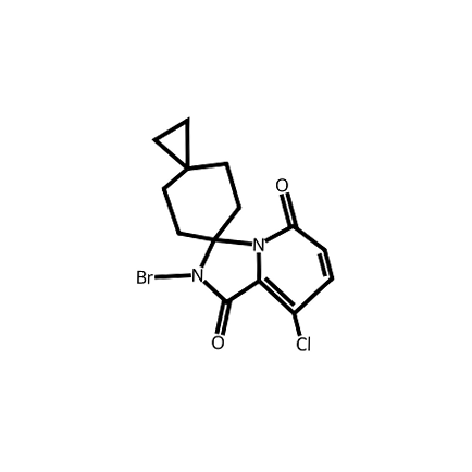 O=C1c2c(Cl)ccc(=O)n2C2(CCC3(CC3)CC2)N1Br